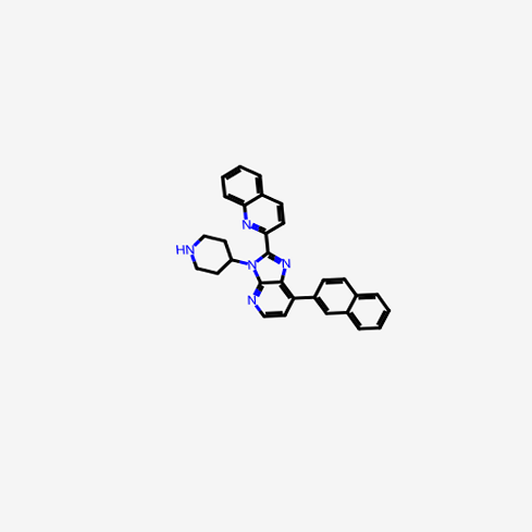 c1ccc2cc(-c3ccnc4c3nc(-c3ccc5ccccc5n3)n4C3CCNCC3)ccc2c1